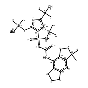 CC(C)(O)c1nc(C[Si](C)(C)C(C)(C)C)c(S(=O)(=NC(=O)Nc2c3c(nc4c2CCC4(C)C)CCC3)N[Si](C)(C)C(C)(C)C)s1